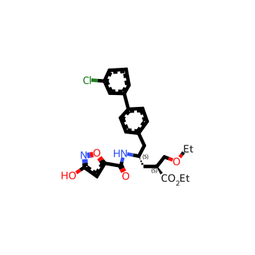 CCOC[C@H](C[C@@H](Cc1ccc(-c2cccc(Cl)c2)cc1)NC(=O)c1cc(O)no1)C(=O)OCC